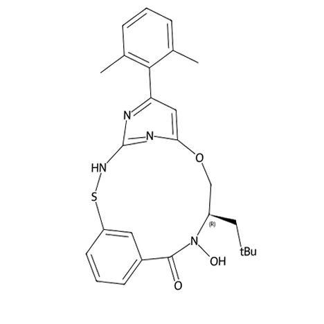 Cc1cccc(C)c1-c1cc2nc(n1)NSc1cccc(c1)C(=O)N(O)[C@H](CC(C)(C)C)CO2